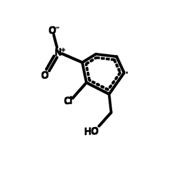 O=[N+]([O-])c1cc[c]c(CO)c1Cl